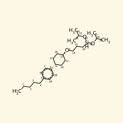 CCCCCc1ccc([C@H]2CC[C@H](OCCC[SiH](OC(C)C)OC(C)C)CC2)cc1